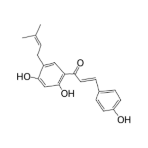 CC(C)=CCc1cc(C(=O)/C=C/c2ccc(O)cc2)c(O)cc1O